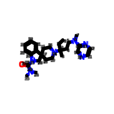 CCC(C)(CCN(C)c1cnccn1)N1CCC2(CC1)CN(C(=O)N(C)C)c1ccccc12